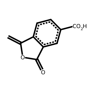 C=C1OC(=O)c2cc(C(=O)O)ccc21